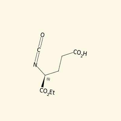 CCOC(=O)[C@H](CCC(=O)O)N=C=O